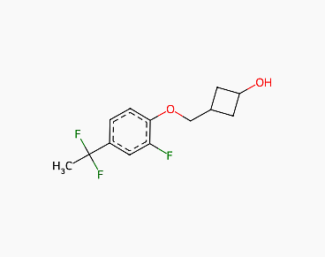 CC(F)(F)c1ccc(OCC2CC(O)C2)c(F)c1